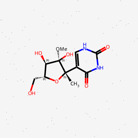 CO[C@@]1(O)[C@H](O)[C@@H](CO)O[C@@]1(C)c1c[nH]c(=O)[nH]c1=O